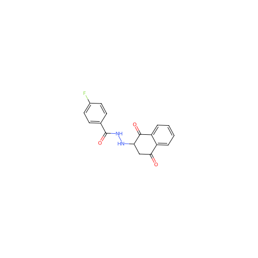 O=C(NNC1CC(=O)c2ccccc2C1=O)c1ccc(F)cc1